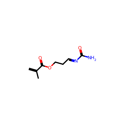 C=C(C)C(=O)OCCC=NC(N)=O